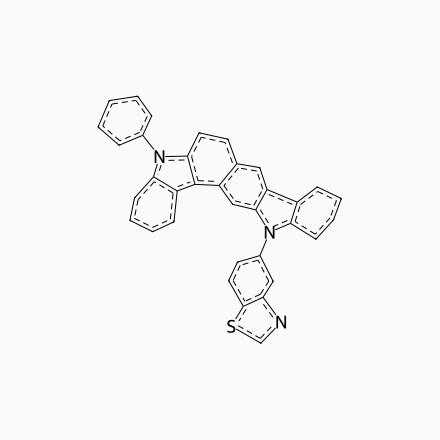 c1ccc(-n2c3ccccc3c3c4cc5c(cc4ccc32)c2ccccc2n5-c2ccc3scnc3c2)cc1